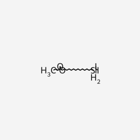 CC=CC(=O)OCCCCCCCCCCCCC[SiH2]C(I)I